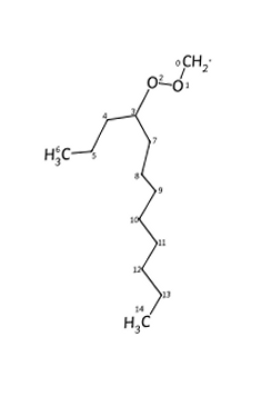 [CH2]OOC(CCC)CCCCCCCC